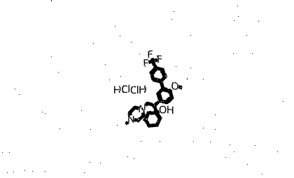 COc1ccc(C(CN2CCN(C)CC2)C2(O)CCCCC2)cc1-c1ccc(C(F)(F)F)cc1.Cl.Cl